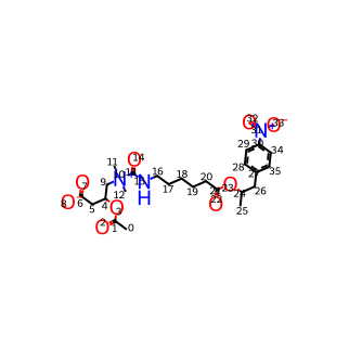 CC(=O)OC(CC(=O)[O-])C[N+](C)(C)C(=O)NCCCCCC(=O)OC(C)Cc1ccc([N+](=O)[O-])cc1